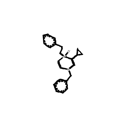 [O-][N+]1(CCc2ccccc2)C=CN(Cc2ccccc2)CC1C1CC1